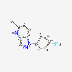 Cc1ccc2c(cnn2-c2ccc(F)cc2)n1